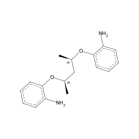 C[C@H](C[C@@H](C)Oc1ccccc1N)Oc1ccccc1N